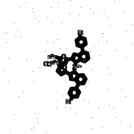 CCCc1ccc(C2=Cc3c(-c4ccc(CC)cc4)cccc3[CH]2[Zr+2][CH]2C(c3ccc(CCC)o3)=Cc3c(-c4ccc(CC)cc4)cccc32)o1.[Cl-].[Cl-]